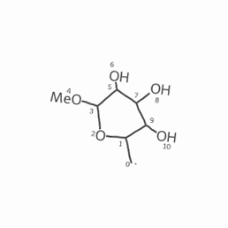 [CH2]C1OC(OC)C(O)C(O)C1O